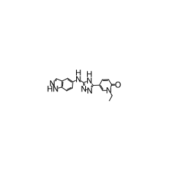 CCn1cc(-c2nnc(Nc3ccc4[nH]ncc4c3)[nH]2)ccc1=O